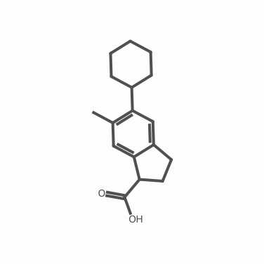 Cc1cc2c(cc1C1CCCCC1)CCC2C(=O)O